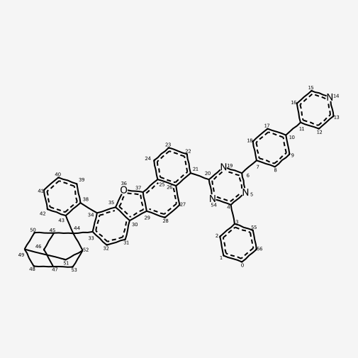 c1ccc(-c2nc(-c3ccc(-c4ccncc4)cc3)nc(-c3cccc4c3ccc3c5ccc6c(c5oc43)-c3ccccc3C63C4CC5CC(C4)CC3C5)n2)cc1